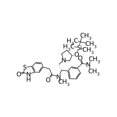 CN(C)C(=O)c1cccc([C@@H](CN2CC[C@H](O[Si](C)(C)C(C)(C)C)C2)N(C)C(=O)Cc2ccc3sc(=O)[nH]c3c2)c1